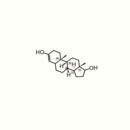 C[C@]12CCC(O)=CC1CC[C@@H]1[C@H]2CC[C@]2(C)C(O)CC[C@@H]12